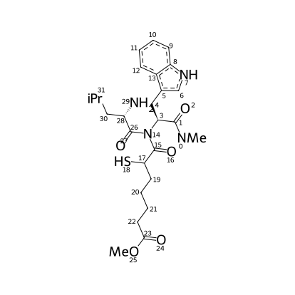 CNC(=O)[C@H](Cc1c[nH]c2ccccc12)N(C(=O)C(S)CCCCC(=O)OC)C(=O)[C@@H](N)CC(C)C